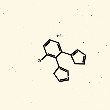 Cl.[Zr][c]1cccc(C2=CC=CC2)c1C1=CC=CC1